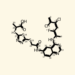 C=C(Cl)/C(Cl)=C\C(F)=C(/C)Nc1ncnc2ccc(NC(=O)CSc3nnc(SC(C)C(=O)O)s3)cc12